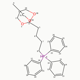 CC12COC(CCCC[PH](c3ccccc3)(c3ccccc3)c3ccccc3)(OC1)OC2